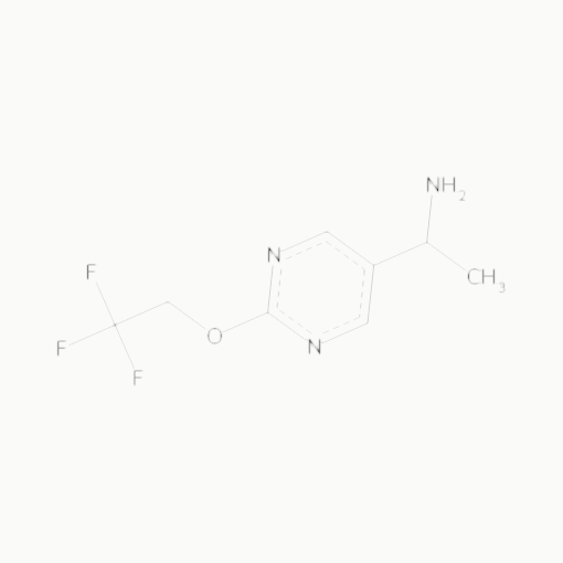 CC(N)c1cnc(OCC(F)(F)F)nc1